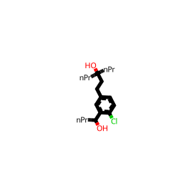 CCCC(O)c1cc(CCC(O)(CCC)CCC)ccc1Cl